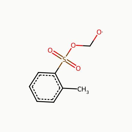 Cc1ccccc1S(=O)(=O)OC[O]